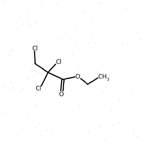 CCOC(=O)C(Cl)(Cl)CCl